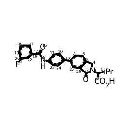 CC(C)C(C(=O)O)N1Cc2ccc(-c3ccc(NC(=O)c4cccc(F)c4)cc3)cc2C1=O